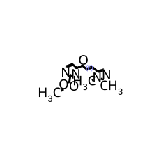 CCOC(=O)c1nccc(C(=O)/C=C/c2cnc(C)n2C)n1